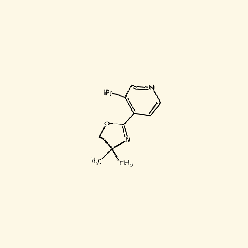 CC(C)c1cnccc1C1=NC(C)(C)CO1